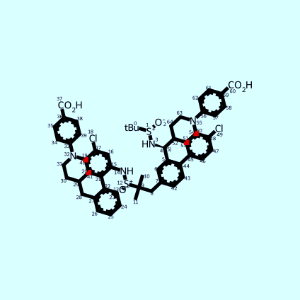 CC(C)(C)[S+]([O-])N[C@H](c1cc(CC(C)(C)[S+]([O-])Nc2cc(Cl)ccc2-c2ccccc2CC2CCN(c3ccc(C(=O)O)cc3)CC2)ccc1-c1ccc(Cl)cc1)C1CCN(c2ccc(C(=O)O)cc2)CC1